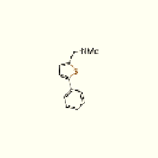 CNCc1ccc(-c2ccccc2)s1